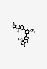 CN1CCC(O)(c2cc(-c3cc(C(F)(F)F)cc(-c4ccnc(Nc5cnn(C)c5)n4)n3)no2)C1=O